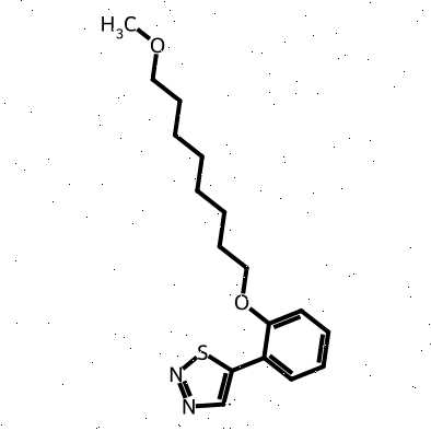 COCCCCCCCCOc1ccccc1-c1[c]nns1